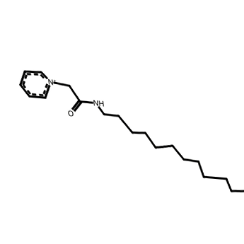 CCCCCCCCCCCCNC(=O)C[n+]1ccccc1